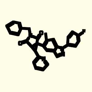 Cc1cc2c(cnn2-c2ccc(F)cc2)cc1C12C(=O)N(Cc3ccccc3)C(=O)C1C2c1ccccn1